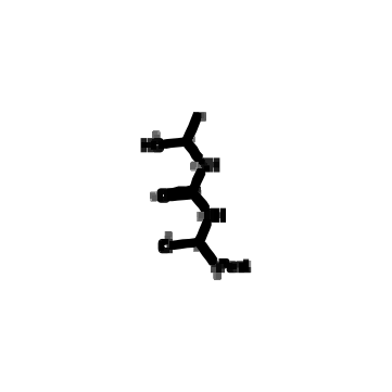 CCCCCC(Cl)NC(=O)NC(C)O